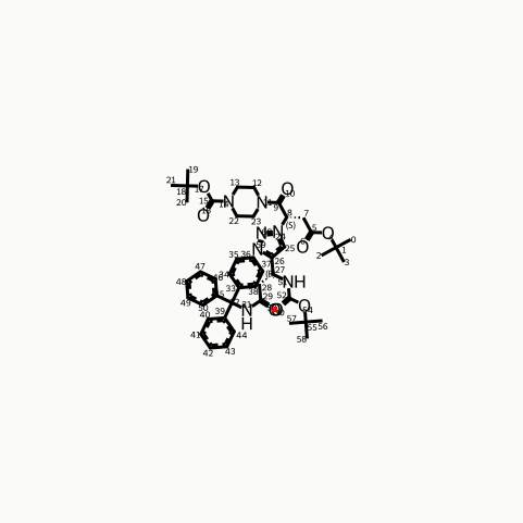 CC(C)(C)OC(=O)C[C@@H](C(=O)N1CCN(C(=O)OC(C)(C)C)CC1)n1cc([C@@H](CC(=O)NC(c2ccccc2)(c2ccccc2)c2ccccc2)NC(=O)OC(C)(C)C)nn1